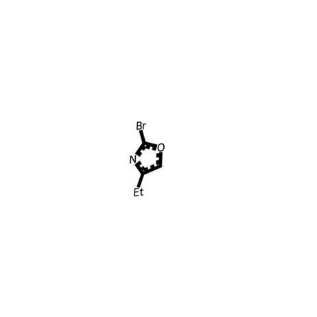 [CH2]Cc1coc(Br)n1